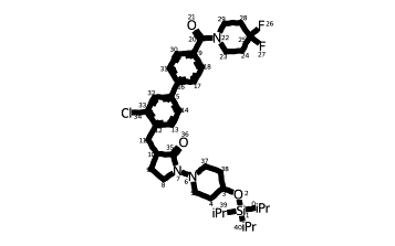 CC(C)[Si](OC1CCN(N2CCC(Cc3ccc(-c4ccc(C(=O)N5CCC(F)(F)CC5)cc4)cc3Cl)C2=O)CC1)(C(C)C)C(C)C